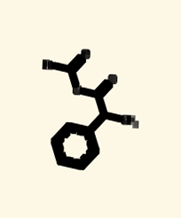 CCC(=O)OC(=O)C(C)c1ccccc1